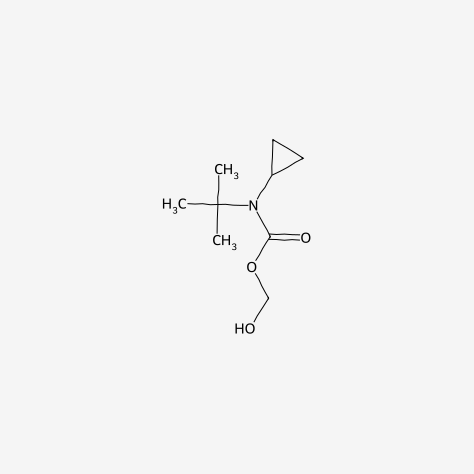 CC(C)(C)N(C(=O)OCO)C1CC1